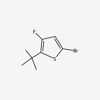 CC(C)(C)c1sc(Br)cc1F